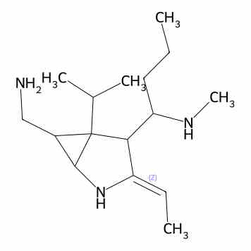 C/C=C1\NC2C(CN)C2(C(C)C)C1C(CCC)NC